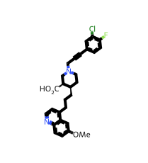 COc1ccc2nccc(CCC[C@@H]3CCN(CC#Cc4ccc(F)c(Cl)c4)C[C@@H]3C(=O)O)c2c1